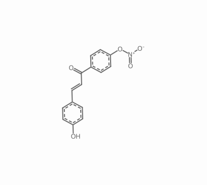 O=C(C=Cc1ccc(O)cc1)c1ccc(O[N+](=O)[O-])cc1